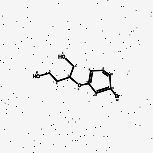 OCCC(CO)Oc1cccc(Br)c1